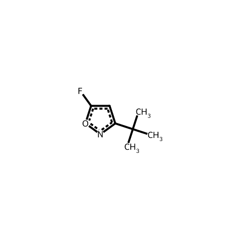 CC(C)(C)c1cc(F)on1